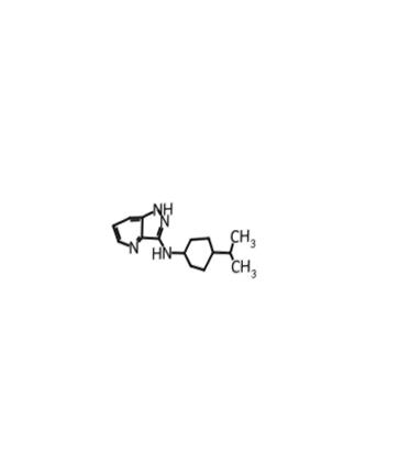 CC(C)C1CCC(Nc2n[nH]c3cccnc23)CC1